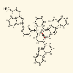 C=C/C=C\c1cn(-c2cccc(N(c3ccc(-c4cccc5c4sc4ccccc45)cc3)c3ccccc3-c3cccc4oc5c6ccccc6ccc5c34)c2)c2ccccc12